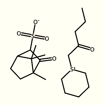 CC12CCC(C(S(=O)(=O)[O-])C1=O)C2(C)C.CCCC(=O)C[S+]1CCCCC1